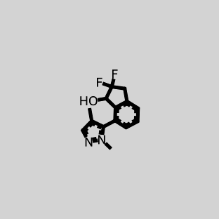 Cc1cnn(C)c1-c1cccc2c1C(O)C(F)(F)C2